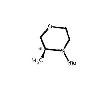 C[C@H]1COCCN1C(C)(C)C